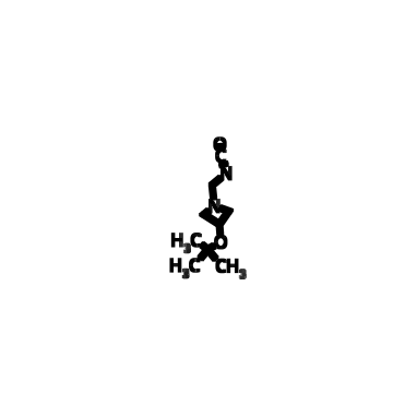 CC(C)(C)OC1CN(CN=C=O)C1